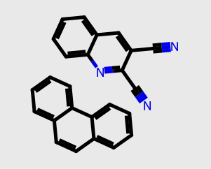 N#Cc1cc2ccccc2nc1C#N.c1ccc2c(c1)ccc1ccccc12